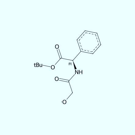 CC(C)(C)OC(=O)[C@H](NC(=O)C[O])c1ccccc1